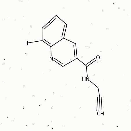 C#CCNC(=O)c1cnc2c(I)cccc2c1